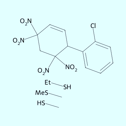 CCS.CS.CSC.O=[N+]([O-])C1([N+](=O)[O-])C=CC(c2ccccc2Cl)C([N+](=O)[O-])([N+](=O)[O-])C1